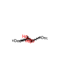 CCCCCCCCCCCCCCCCCCOC(CO)COCC(CO)OCCCCCCCCCCCCCCCCCC